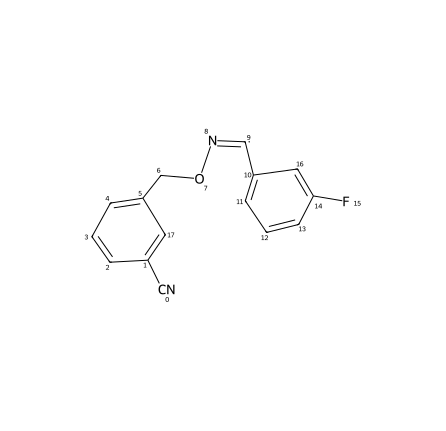 N#Cc1cccc(CO/N=[C]\c2cccc(F)c2)c1